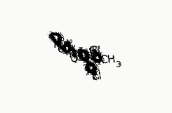 Cc1ccc(N2CCN(C(=O)Cc3ccc(Oc4ccccc4)cc3)CC2c2ccc(Cl)cc2)c(Cl)c1